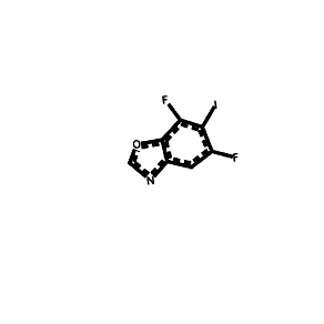 Fc1cc2ncoc2c(F)c1I